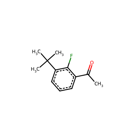 CC(=O)c1cccc(C(C)(C)C)c1F